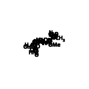 COc1cc(-c2cn(C)c(=O)c3cnccc23)cc(OC)c1CN1CC(N(C)Cc2cccc(C)c2C(=O)N(C=O)C2CCC(=O)NC2=O)C1